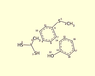 CC(S)S.CSc1ccccc1.Oc1ccccc1